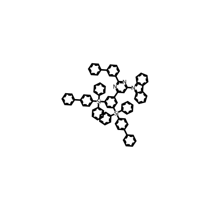 c1ccc(-c2ccc([Si](c3ccccc3)(c3ccccc3)c3cc(-c4cc(-n5c6ccccc6c6ccccc65)nc(-c5cccc(-c6ccccc6)c5)n4)cc([Si](c4ccccc4)(c4ccccc4)c4ccc(-c5ccccc5)cc4)c3)cc2)cc1